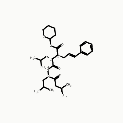 CC(C)CC(=O)N(CC(C)C)NC(=O)[C@H](CC(C)C)[C@H](CC=Cc1ccccc1)C(=O)OC1CCCCO1